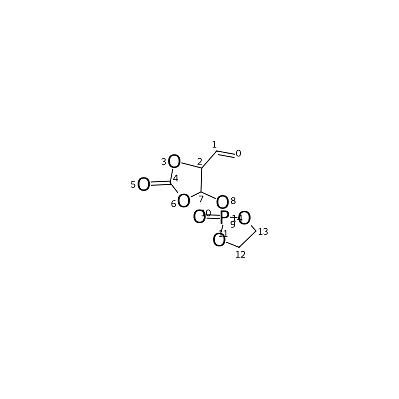 C=CC1OC(=O)OC1OP1(=O)OCCO1